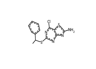 CC(Sc1nc(Cl)c2sc(N)nc2n1)c1ccccc1